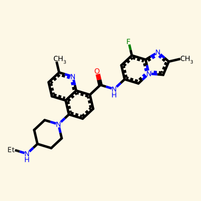 CCNC1CCN(c2ccc(C(=O)Nc3cc(F)c4nc(C)cn4c3)c3nc(C)ccc23)CC1